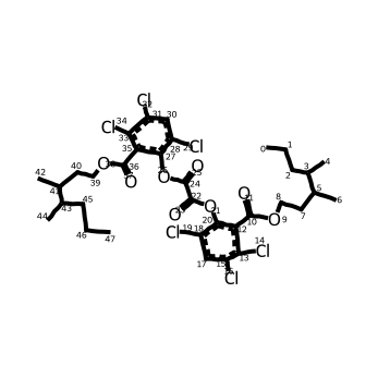 CCCC(C)C(C)CCOC(=O)c1c(Cl)c(Cl)cc(Cl)c1OC(=O)C(=O)Oc1c(Cl)cc(Cl)c(Cl)c1C(=O)OCCC(C)C(C)CCC